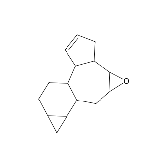 C1=CC2C3CCC4CC4C3CC3OC3C2C1